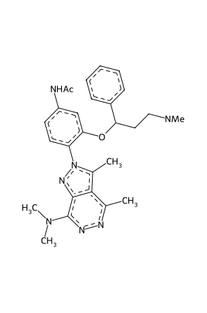 CNCCC(Oc1cc(NC(C)=O)ccc1-n1nc2c(N(C)C)nnc(C)c2c1C)c1ccccc1